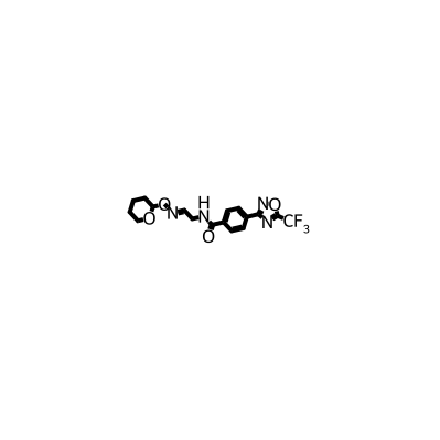 O=C(NCC=NOC1CCCCO1)c1ccc(-c2noc(C(F)(F)F)n2)cc1